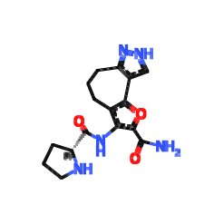 NC(=O)c1oc2c(c1NC(=O)[C@H]1CCCN1)CCCc1n[nH]cc1-2